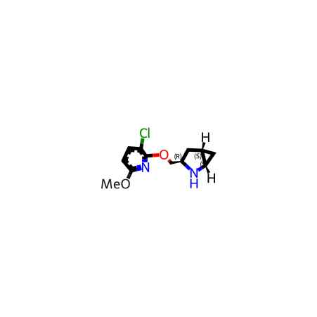 COc1ccc(Cl)c(OC[C@H]2C[C@@H]3C[C@@H]3N2)n1